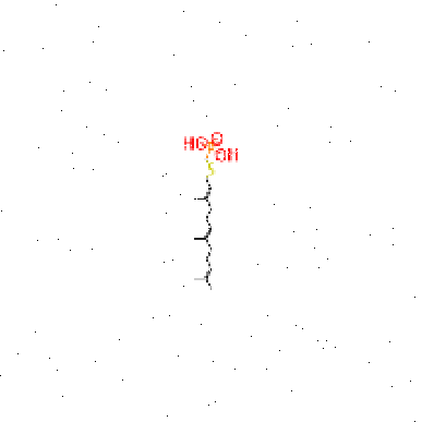 CC(C)=CCC/C(C)=C/CC/C(C)=C/CSCP(=O)(O)O